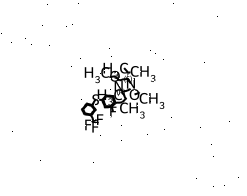 CCOC1=N[C@](C)(CC(C)c2ccc(Sc3cccc(C(F)(F)F)c3)cc2F)C(OCC)=N[C@H]1C(C)C